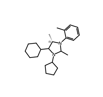 Cc1ccccc1N1C(C)N(C2CCCC2)C(C2CCCCC2)[C@@H]1C